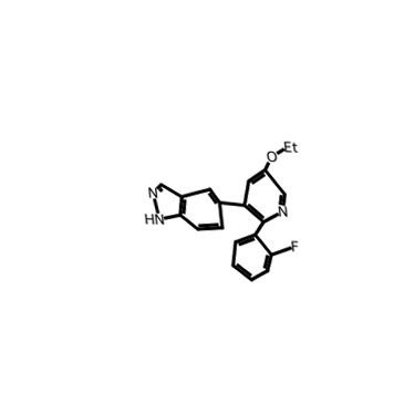 CCOc1cnc(-c2ccccc2F)c(-c2ccc3[nH]ncc3c2)c1